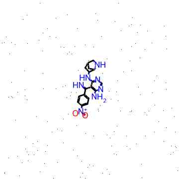 N=C(c1ccc([N+](=O)[O-])cc1)c1c(N)ncnc1NC1CC2CNC1C2